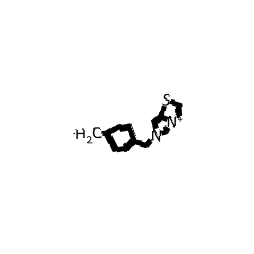 [CH2]c1ccc(Cn2cc3scc[n+]3c2)cc1